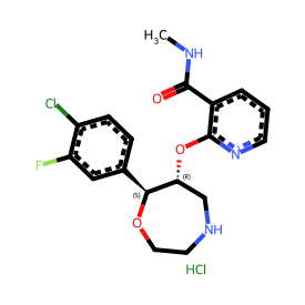 CNC(=O)c1cccnc1O[C@@H]1CNCCO[C@H]1c1ccc(Cl)c(F)c1.Cl